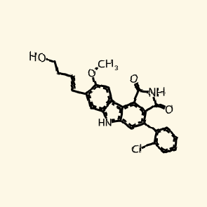 COc1cc2c(cc1C=CCCO)[nH]c1cc(-c3ccccc3Cl)c3c(c12)C(=O)NC3=O